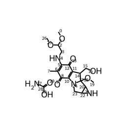 COC(CNC1=C(C)C(=O)C2=C(C1=O)C(CO)C1(OC)C3NC3CN21)OC.NC(=O)O